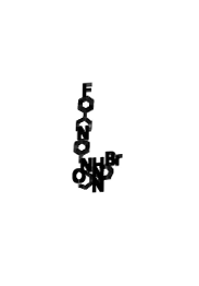 CCc1nc2ccc(Br)cn2c1C(=O)NCc1ccc(N2CCC(c3ccc(F)cc3)CC2)cc1